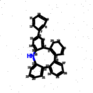 C1=Cc2c(c3cc(-c4ccccc4)ccc3[nH]c3ccccc3c3ccccc23)CC1